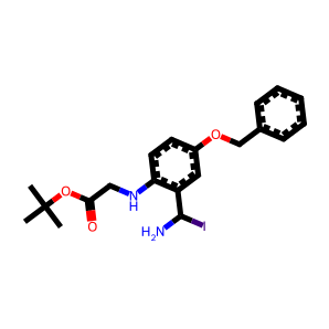 CC(C)(C)OC(=O)CNc1ccc(OCc2ccccc2)cc1C(N)I